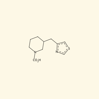 O=C(O)N1CCCC(Cc2cscn2)C1